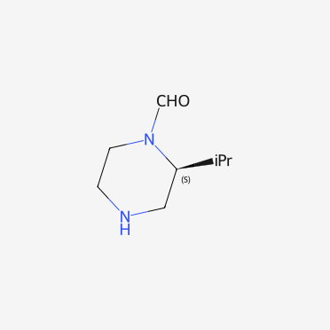 CC(C)[C@H]1CNCCN1C=O